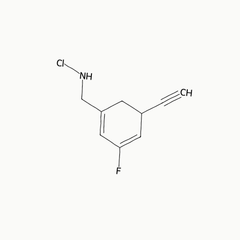 C#CC1C=C(F)C=C(CNCl)C1